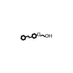 OCCCOc1ccc(/C=C/c2ccccc2)cc1